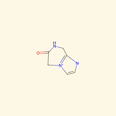 O=C1C[N+]2=C(CN1)[N]C=C2